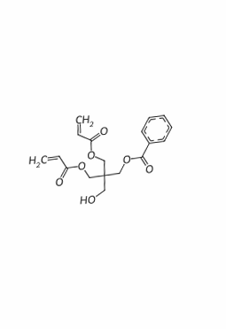 C=CC(=O)OCC(CO)(COC(=O)C=C)COC(=O)c1ccccc1